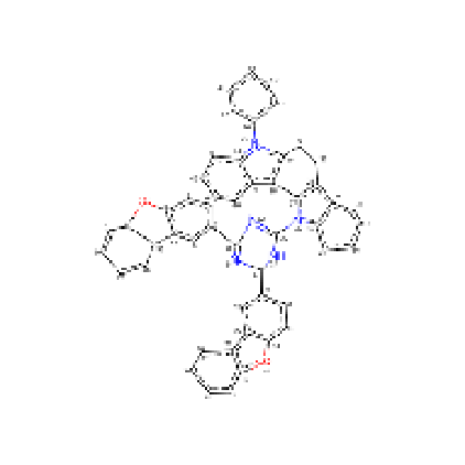 C1=CC2Oc3ccc(C4=NC(c5ccc6oc7ccccc7c6c5)NC(n5c6c(c7ccccc75)CCc5c-6c6ccccc6n5-c5ccccc5)=N4)cc3C2C=C1